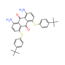 CC(C)(C)c1ccc(Sc2ccc(N)c3c2C(=O)c2c(Sc4ccc(C(C)(C)C)cc4)ccc(N)c2C3=O)cc1